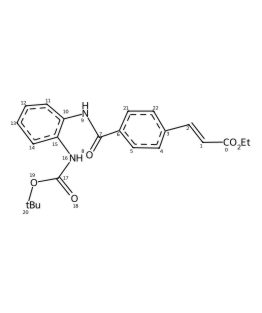 CCOC(=O)C=Cc1ccc(C(=O)Nc2ccccc2NC(=O)OC(C)(C)C)cc1